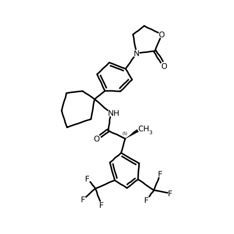 C[C@H](C(=O)NC1(c2ccc(N3CCOC3=O)cc2)CCCCC1)c1cc(C(F)(F)F)cc(C(F)(F)F)c1